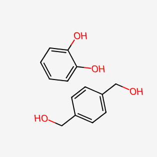 OCc1ccc(CO)cc1.Oc1ccccc1O